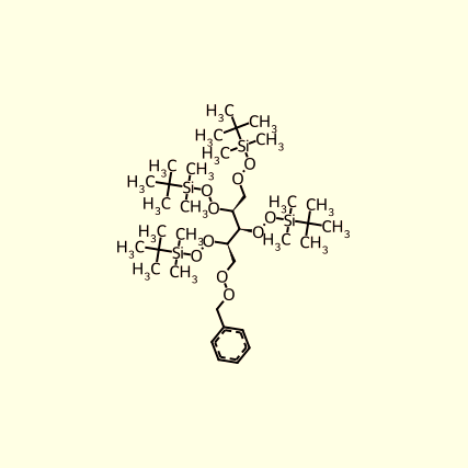 CC(C)(C)[Si](C)(C)OOC[C@H](OO[Si](C)(C)C(C)(C)C)[C@@H](OO[Si](C)(C)C(C)(C)C)[C@@H](COOCc1ccccc1)OO[Si](C)(C)C(C)(C)C